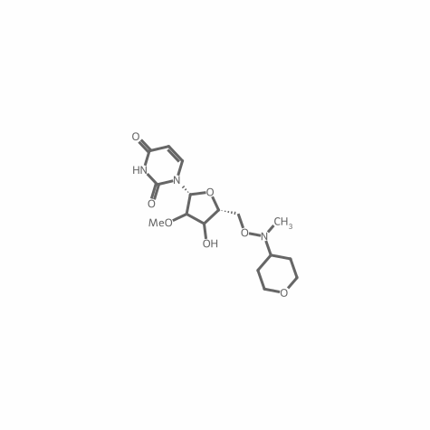 COC1C(O)[C@@H](CON(C)C2CCOCC2)O[C@H]1n1ccc(=O)[nH]c1=O